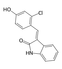 O=C1Nc2ccccc2C1=Cc1ccc(O)cc1Cl